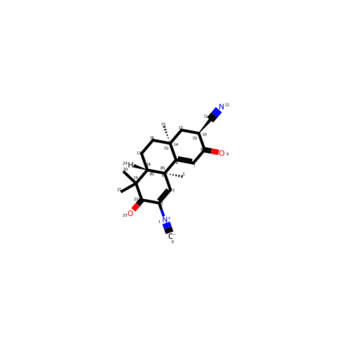 [C-]#[N+]C1=C[C@]2(C)C3=CC(=O)[C@H](C#N)C[C@]3(C)CC[C@H]2C(C)(C)C1=O